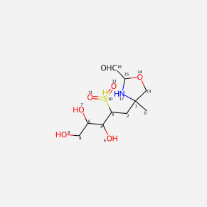 CC1(CC(C(O)C(O)CO)[SH](=O)=O)COC(C=O)N1